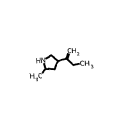 C=C(CC)C1CNC(C)C1